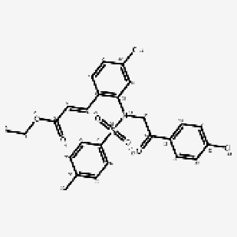 CCOC(=O)C=Cc1ccc(Cl)cc1N(CC(=O)c1ccc(Cl)cc1)S(=O)(=O)c1ccc(C)cc1